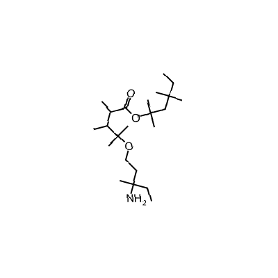 CCC(C)(C)CC(C)(C)OC(=O)C(C)C(C)C(C)(C)OCCC(C)(N)CC